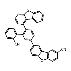 N#Cc1ccc2oc3ccc(-c4ccc(-c5cccc6sc7ccccc7c56)c(-c5ccccc5C#N)c4)cc3c2c1